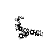 CC(N)[C@H]1CC[C@H](C(=O)N2CC[C@@H](C3CCCCC3)[C@H]2C(=O)Nc2ccc(C(=O)OCOC(=O)C(C)(C)C)c(F)c2)CC1